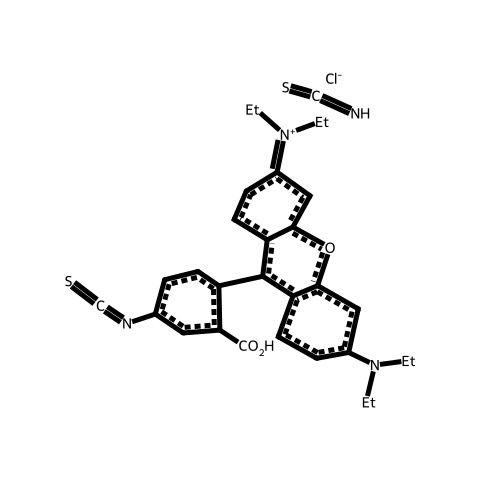 CCN(CC)c1ccc2c(-c3ccc(N=C=S)cc3C(=O)O)c3ccc(=[N+](CC)CC)cc-3oc2c1.N=C=S.[Cl-]